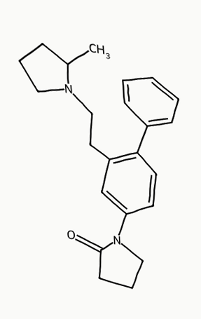 CC1CCCN1CCc1cc(N2CCCC2=O)ccc1-c1ccccc1